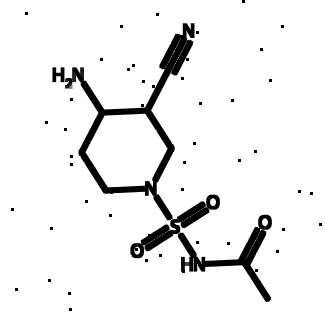 CC(=O)NS(=O)(=O)N1CCC(N)C(C#N)C1